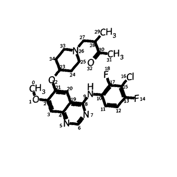 COc1cc2ncnc(Nc3ccc(F)c(Cl)c3F)c2cc1OC1CCN(CC(C)C(C)=O)CC1